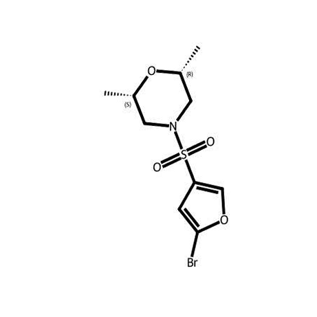 C[C@@H]1CN(S(=O)(=O)c2coc(Br)c2)C[C@H](C)O1